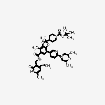 CSc1cc(C)[nH]c(=O)c1CNC(=O)c1cc(-c2ccc(N3C[C@@H](C)O[C@@H](C)C3)nc2)c2c(c1C)OC(C)(C1CCN(C(=O)OC(C)(C)C)CC1)O2